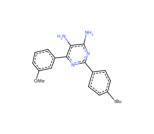 COc1cccc(-c2nc(-c3ccc(C(C)(C)C)cc3)nc(N)c2N)c1